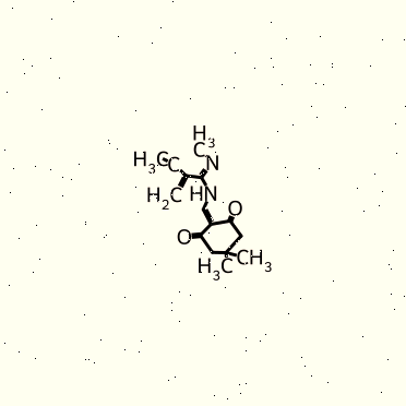 C=C(CC)/C(=N\C)NC=C1C(=O)CC(C)(C)CC1=O